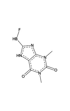 Cn1c(=O)c2[nH]c(BF)nc2n(C)c1=O